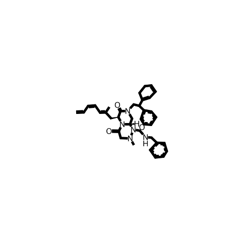 C=C/C=C\C=C(/C)C[C@H]1C(=O)N(CC(C2=CC=CCC2)c2ccccc2)C[C@H]2N1C(=O)CN(C)N2C(=O)NCc1ccccc1